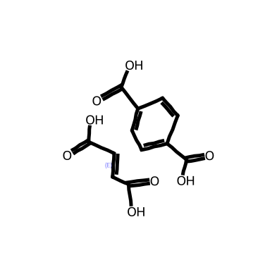 O=C(O)/C=C/C(=O)O.O=C(O)c1ccc(C(=O)O)cc1